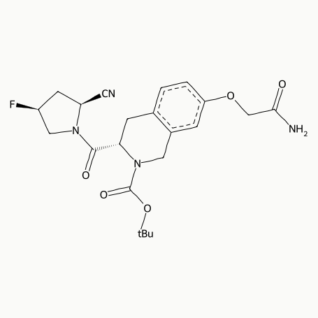 CC(C)(C)OC(=O)N1Cc2cc(OCC(N)=O)ccc2C[C@H]1C(=O)N1C[C@@H](F)C[C@H]1C#N